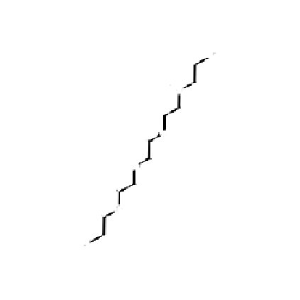 ICCOCCOCCOCCOCCI